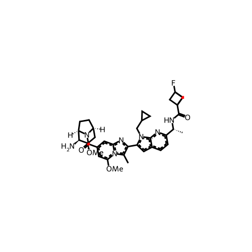 COc1cc(C(=O)N2[C@H]3CC[C@@H]2[C@H](N)[C@H](OC)C3)cc2nc(-c3cc4ccc([C@@H](C)NC(=O)C56CC(F)(C5)C6)nc4n3CC3CC3)c(C)n12